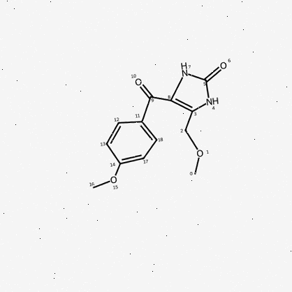 COCc1[nH]c(=O)[nH]c1C(=O)c1ccc(OC)cc1